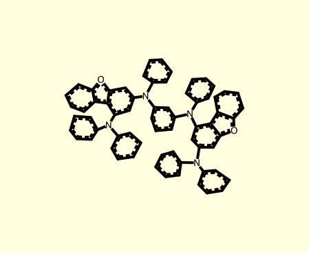 c1ccc(N(c2cccc(N(c3ccccc3)c3cc(N(c4ccccc4)c4ccccc4)cc4oc5ccccc5c34)c2)c2cc(N(c3ccccc3)c3ccccc3)c3c(c2)oc2ccccc23)cc1